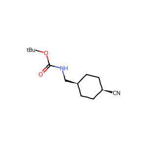 CC(C)(C)OC(=O)NC[C@H]1CC[C@@H](C#N)CC1